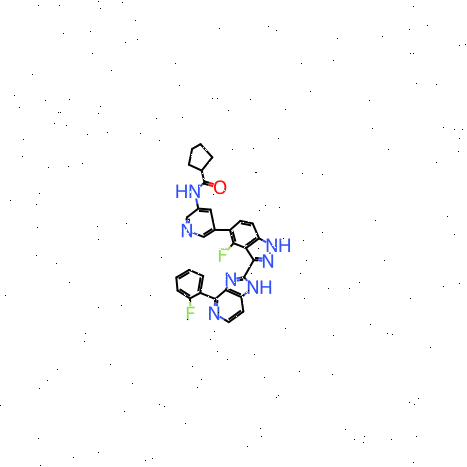 O=C(Nc1cncc(-c2ccc3[nH]nc(-c4nc5c(-c6ccccc6F)nccc5[nH]4)c3c2F)c1)C1CCCC1